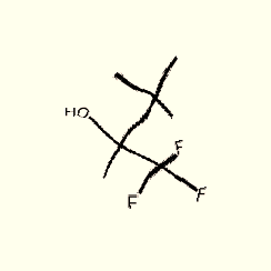 CC(C)(C)C(C)(O)C(F)(F)F